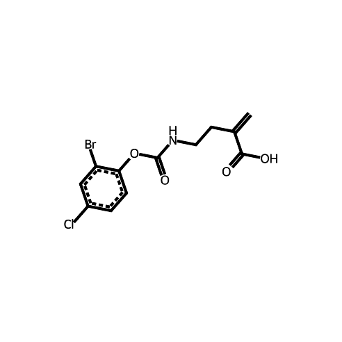 C=C(CCNC(=O)Oc1ccc(Cl)cc1Br)C(=O)O